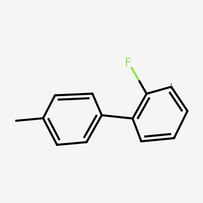 Cc1ccc(-c2ccc[c]c2F)cc1